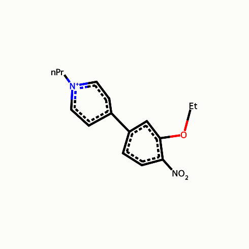 CCC[n+]1ccc(-c2ccc([N+](=O)[O-])c(OCC)c2)cc1